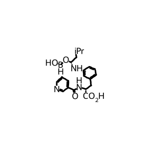 CC(C)C[C@H](N)OBO.O=C(N[C@@H](Cc1ccccc1)C(=O)O)c1cccnc1